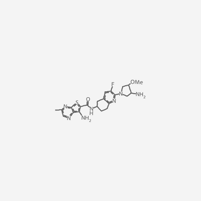 COC1CN(c2nc3c(cc2F)CC(NC(=O)c2sc4nc(C)cnc4c2N)CC3)CC1N